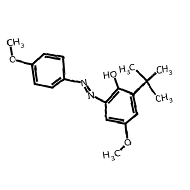 COc1ccc(/N=N/c2cc(OC)cc(C(C)(C)C)c2O)cc1